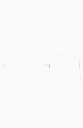 O=C(OC(C(F)(F)F)C(F)(F)F)N1CCC2(CC1)CC2CO